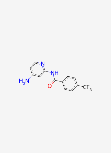 Nc1ccnc(NC(=O)c2ccc(C(F)(F)F)cc2)c1